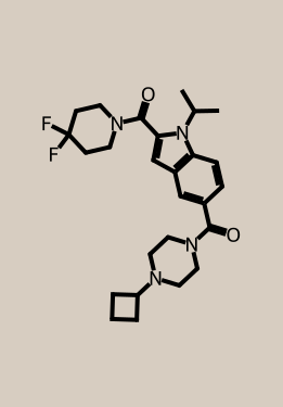 CC(C)n1c(C(=O)N2CCC(F)(F)CC2)cc2cc(C(=O)N3CCN(C4CCC4)CC3)ccc21